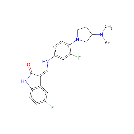 CC(=O)N(C)C1CCN(c2ccc(NC=C3C(=O)Nc4ccc(F)cc43)cc2F)C1